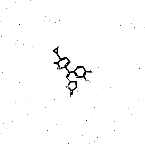 Nc1cc(/C(=C\[C@H]2CCC(=O)N2)c2ccc(C3CC3)c(=O)[nH]2)ccc1Cl